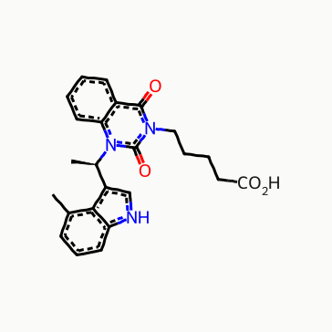 Cc1cccc2[nH]cc([C@@H](C)n3c(=O)n(CCCCC(=O)O)c(=O)c4ccccc43)c12